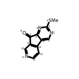 CSc1ncc2c(n1)C(=O)c1cnccc1-2